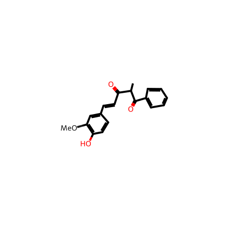 COc1cc(C=CC(=O)C(C)C(=O)c2ccccc2)ccc1O